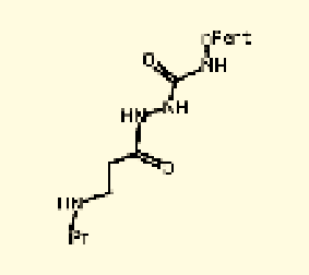 CCCCCNC(=O)NNC(=O)CCNC(C)C